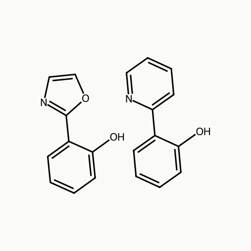 Oc1ccccc1-c1ccccn1.Oc1ccccc1-c1ncco1